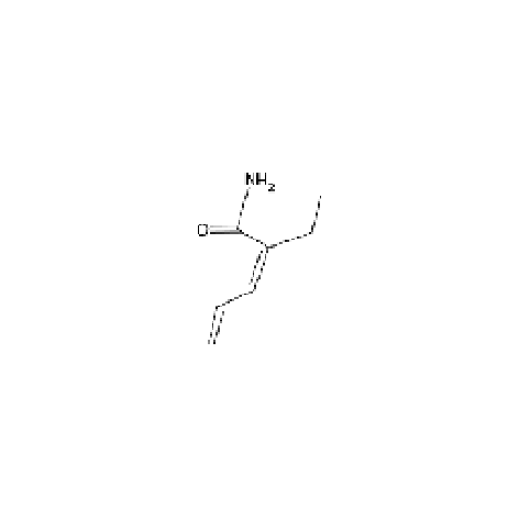 C=CC=C(CC)C(N)=O